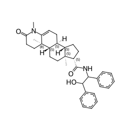 CN1C(=O)CC[C@@]2(C)C1=CC[C@H]1[C@@H]3CC[C@H](C(=O)NC(c4ccccc4)C(O)c4ccccc4)[C@@]3(C)CC[C@@H]12